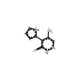 Cc1cn[nH]c(=O)c1-c1ccc[nH]1